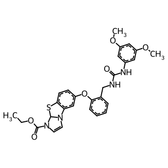 CCOC(=O)N1C=CN2c3cc(Oc4ccccc4CNC(=O)Nc4cc(OC)cc(OC)c4)ccc3SC12